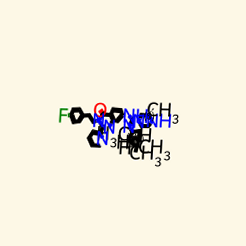 C[C@@H]1C(N=C(Nc2ccc3c(=O)n(CCc4ccc(F)cc4)c(-c4ccccn4)nc3c2)N2CCN[C@@H](C)C2)C[C@H]2C[C@@H]1C2(C)C